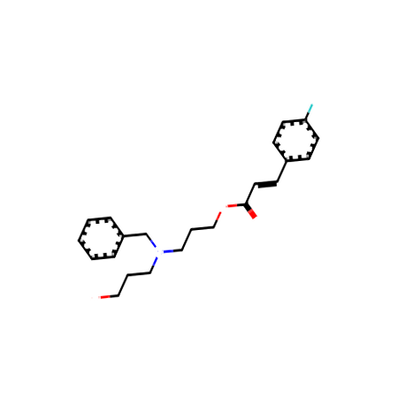 O=C(/C=C/c1ccc(F)cc1)OCCCN(CCCO)Cc1ccccc1